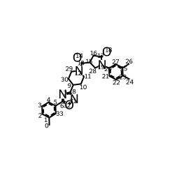 Cc1cccc(-c2nc(C3CCN(C(=O)C4CC(=O)N(c5ccc(C)c(C)c5)C4)CC3)no2)c1